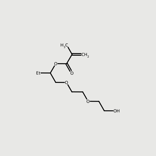 C=C(C)C(=O)OC(CC)COCCOCCO